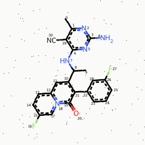 Cc1nc(N)nc(NC(C)c2cc3ccc(F)cn3c(=O)c2-c2cccc(F)c2)c1C#N